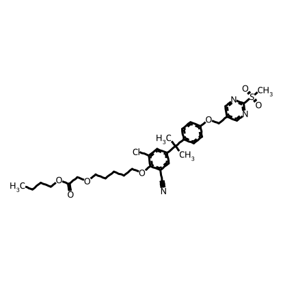 CCCCOC(=O)COCCCCCOc1c(Cl)cc(C(C)(C)c2ccc(OCc3cnc(S(C)(=O)=O)nc3)cc2)cc1C#N